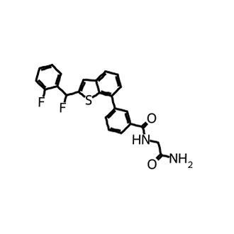 NC(=O)CNC(=O)c1cccc(-c2cccc3cc(C(F)c4ccccc4F)sc23)c1